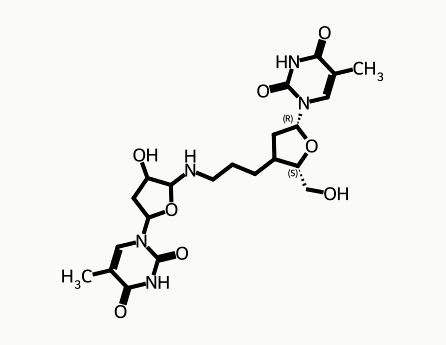 Cc1cn(C2CC(O)C(NCCCC3C[C@H](n4cc(C)c(=O)[nH]c4=O)O[C@@H]3CO)O2)c(=O)[nH]c1=O